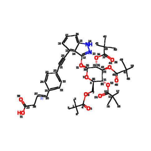 CC(C)(C)C(=O)OC[C@H]1O[C@@H](Oc2n[nH]c3cccc(C#Cc4ccc(/C=C/CC(=O)O)cc4)c23)[C@H](OC(=O)C(C)(C)C)[C@@H](OC(=O)C(C)(C)C)[C@@H]1OC(=O)C(C)(C)C